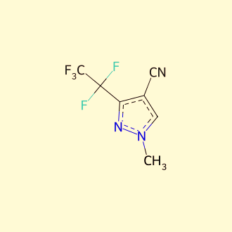 Cn1cc(C#N)c(C(F)(F)C(F)(F)F)n1